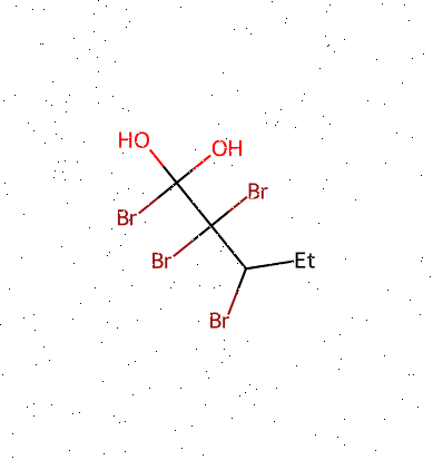 CCC(Br)C(Br)(Br)C(O)(O)Br